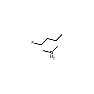 CCCCF.C[SiH2]C